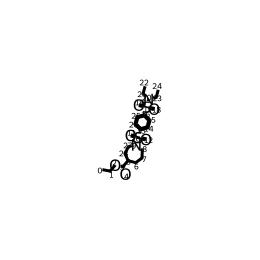 CCOC(=O)C1CCCN(S(=O)(=O)c2ccc(S(=O)(=O)N(CC)CC)cc2)CC1